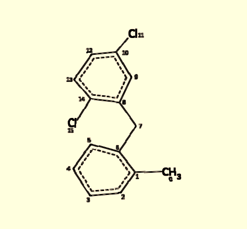 Cc1ccccc1Cc1cc(Cl)ccc1Cl